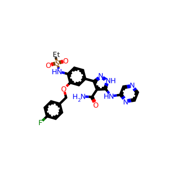 CCS(=O)(=O)Nc1ccc(-c2n[nH]c(Nc3cnccn3)c2C(N)=O)cc1OCc1ccc(F)cc1